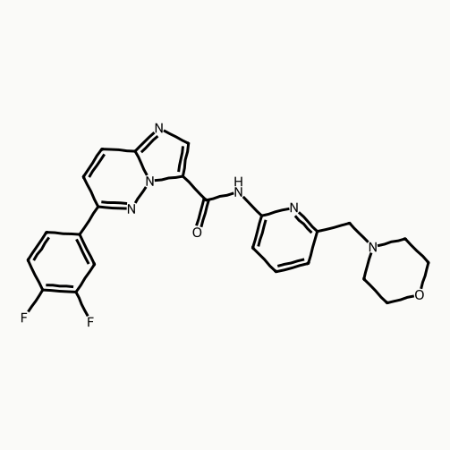 O=C(Nc1cccc(CN2CCOCC2)n1)c1cnc2ccc(-c3ccc(F)c(F)c3)nn12